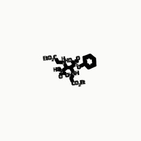 CCOC(=O)CNC(C(NCC(=O)OCC)P(=O)(O)Oc1ccccc1)P(=O)(O)O